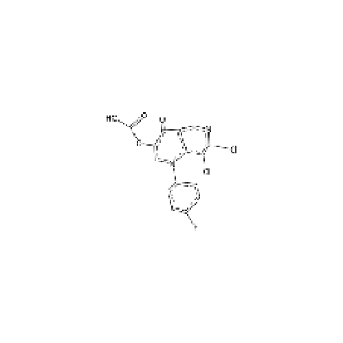 O=C(O)Oc1cn(-c2ccc(F)cc2)c2c(Cl)c(Cl)ncc2c1=O